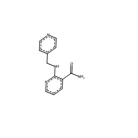 NC(=O)c1cccnc1NCc1ccncc1